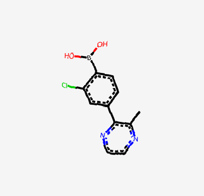 Cc1nccnc1-c1ccc(B(O)O)c(Cl)c1